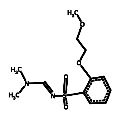 COCCOc1ccccc1S(=O)(=O)N=CN(C)C